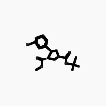 COC(=O)[C@H]1CN(C(=O)OC(C)(C)C)C[C@@H]1c1cccc(Br)c1